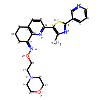 Cc1nc(-c2cccnc2)sc1-c1ccc2c(n1)/C(=N/OCCN1CCOCC1)CCC2